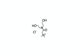 C[N+](C)(C)CC(=O)N(CCO)CCO.[Cl-]